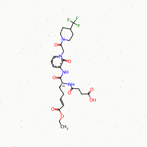 CCOC(=O)C=CCC[C@H](NC(=O)CCC(=O)O)C(=O)Nc1cccn(CC(=O)N2CCC(C(F)(F)F)CC2)c1=O